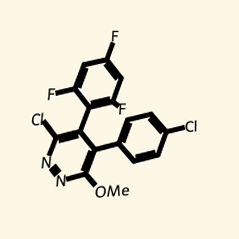 COc1nnc(Cl)c(-c2c(F)cc(F)cc2F)c1-c1ccc(Cl)cc1